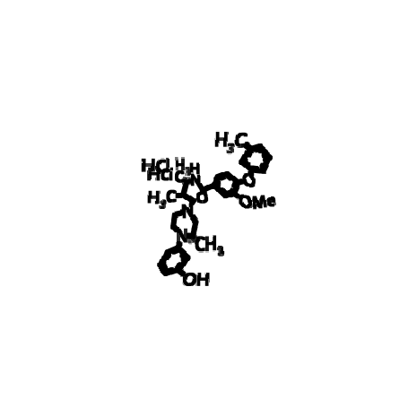 COc1cc(C(=O)N[C@@H](C)C(C)CN2CCN(c3cccc(O)c3)[C@@H](C)C2)ccc1Oc1cccc(C)c1.Cl.Cl